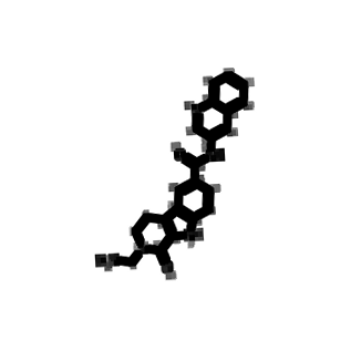 NCN1CCc2c([nH]c3ccc(C(=O)Nc4cnc5ccccc5c4)cc23)C1=O